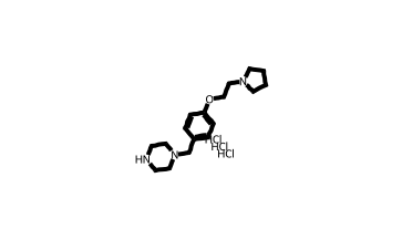 Cl.Cl.Cl.c1cc(OCCN2CCCC2)ccc1CN1CCNCC1